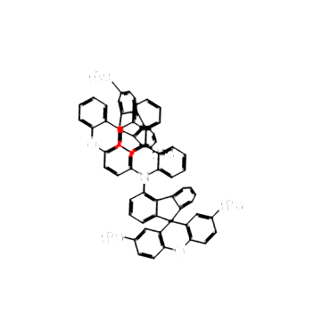 CC(C)(C)c1ccc2c(c1)C1(c3cc(C(C)(C)C)ccc3O2)c2ccccc2-c2c(N(c3ccc4c(c3)C3(c5ccccc5O4)c4cc(C(C)(C)C)ccc4-c4ccc(C(C)(C)C)cc43)c3ccccc3-c3cccc4ccccc34)cccc21